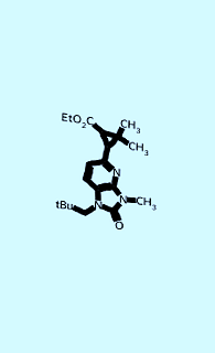 CCOC(=O)C1C(c2ccc3c(n2)n(C)c(=O)n3CC(C)(C)C)C1(C)C